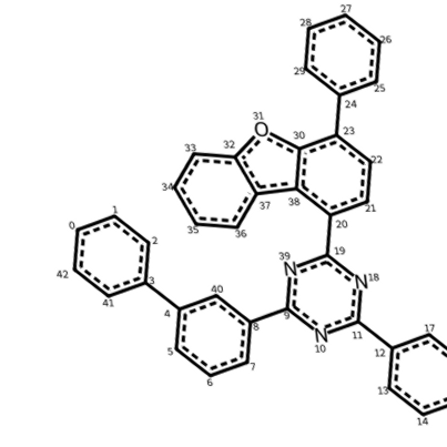 c1ccc(-c2cccc(-c3nc(-c4ccccc4)nc(-c4ccc(-c5ccccc5)c5oc6ccccc6c45)n3)c2)cc1